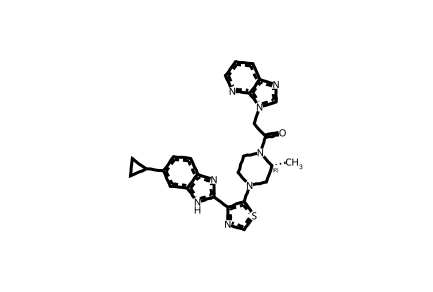 C[C@@H]1CN(c2scnc2-c2nc3ccc(C4CC4)cc3[nH]2)CCN1C(=O)Cn1cnc2cccnc21